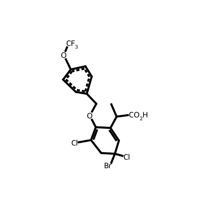 CC(C(=O)O)C1=CC(Cl)(Br)CC(Cl)=C1OCc1ccc(OC(F)(F)F)cc1